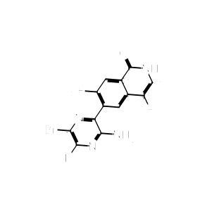 Nc1nc(F)c(Br)nc1-c1cc2c(F)c[nH]c(=O)c2cc1F